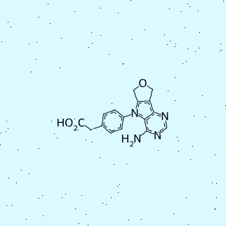 Nc1ncnc2c3c(n(-c4ccc(CC(=O)O)cc4)c12)COC3